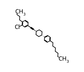 CCCCCCCc1ccc([C@H]2CC[C@H](C#Cc3ccc(CCCC)c(Cl)c3)CC2)cc1